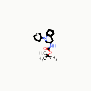 CC(C)(C)OC(=O)NC1Cc2ccccc2N(C2CCCCC2)C1